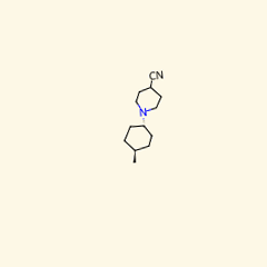 C[C@H]1CC[C@H](N2CCC(C#N)CC2)CC1